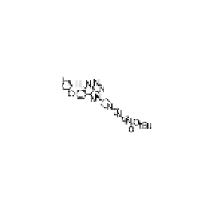 Cc1ccc(Oc2ccc(-c3nn(C4CCN(C5CN(C6CN(C(=O)OC(C)(C)C)C6)C5)CC4)c4ncnc(N)c34)cc2)cc1